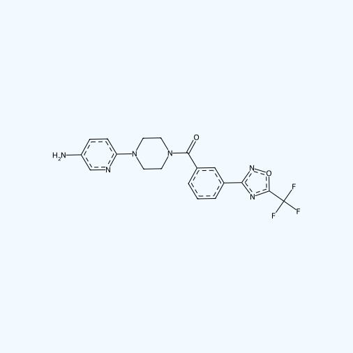 Nc1ccc(N2CCN(C(=O)c3cccc(-c4noc(C(F)(F)F)n4)c3)CC2)nc1